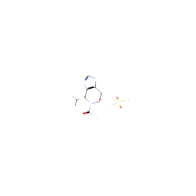 CC(C)[C@H]1c2nc[nH]c2CCN1C(=O)O.O.O=S(=O)(O)O